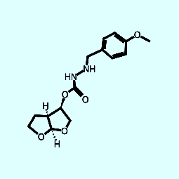 COc1ccc(CNNC(=O)O[C@H]2CO[C@H]3OCC[C@H]32)cc1